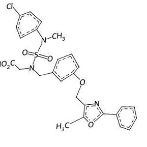 Cc1oc(-c2ccccc2)nc1COc1cccc(CN(CC(=O)O)S(=O)(=O)N(C)c2ccc(Cl)cc2)c1